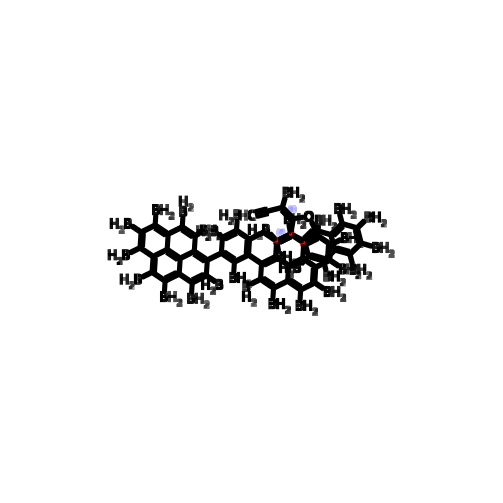 B/C(Cc1c(B)c(B)c(-c2c(B)c(B)c3c(B)c(B)c4c(B)c(B)c(B)c5c(B)c(B)c2c3c45)c(B)c1-c1c(B)c(B)c2c(B)c(B)c3c(B)c(B)c(B)c4c(B)c(B)c1c2c34)=c1/c(=C(/B)C#C)oc2c1c(B)c(B)c1c(B)c(B)c(B)c(B)c12